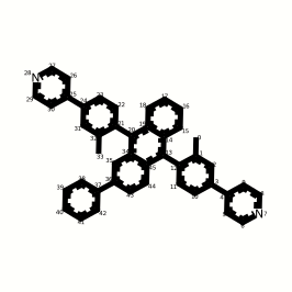 Cc1cc(-c2ccncc2)ccc1-c1c2ccccc2c(-c2ccc(-c3ccncc3)cc2C)c2cc(-c3ccccc3)ccc12